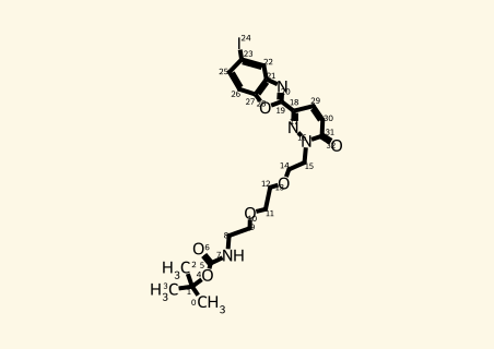 CC(C)(C)OC(=O)NCCOCCOCCn1nc(-c2nc3cc(I)ccc3o2)ccc1=O